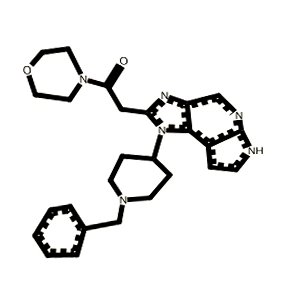 O=C(Cc1nc2cnc3[nH]ccc3c2n1C1CCN(Cc2ccccc2)CC1)N1CCOCC1